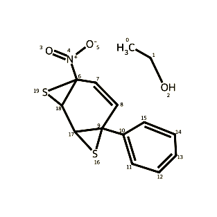 CCO.O=[N+]([O-])C12C=CC3(c4ccccc4)SC3C1S2